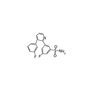 NS(=O)(=O)c1cc(F)cc(-c2ncccc2-c2cccc(F)c2)c1